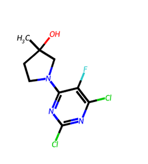 CC1(O)CCN(c2nc(Cl)nc(Cl)c2F)C1